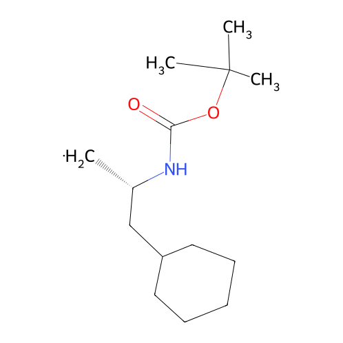 [CH2][C@@H](CC1CCCCC1)NC(=O)OC(C)(C)C